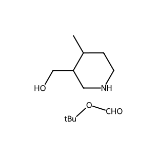 CC(C)(C)OC=O.CC1CCNCC1CO